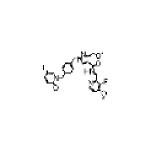 COCc1nn(Cc2ccc(Cn3cc(F)ccc3=O)cc2)cc1C(=O)NCc1nccc(OC)c1F